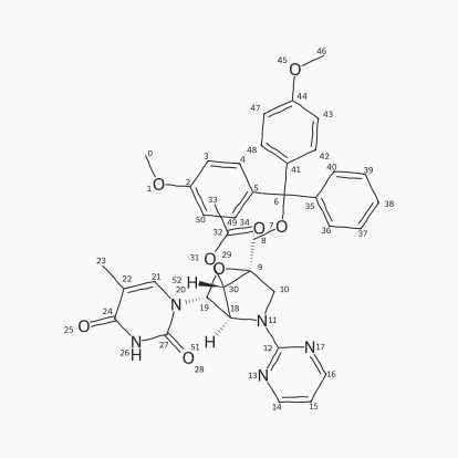 COc1ccc(C(OC[C@@]23CN(c4ncccn4)[C@@H]([C@H](n4cc(C)c(=O)[nH]c4=O)O2)[C@@H]3OC(C)=O)(c2ccccc2)c2ccc(OC)cc2)cc1